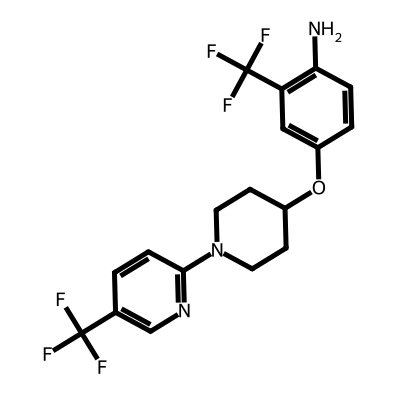 Nc1ccc(OC2CCN(c3ccc(C(F)(F)F)cn3)CC2)cc1C(F)(F)F